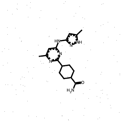 Cc1cc(Nc2cc(C)[nH]n2)nc(C2CCC(C(N)=O)CC2)n1